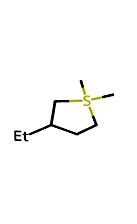 CCC1CCS(C)(C)C1